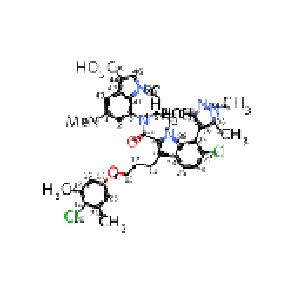 CNc1cc(N2C[C@@H](C)n3c(c(CCCOc4cc(C)c(Cl)c(C)c4)c4ccc(Cl)c(-c5c(C)nn(C)c5C)c43)C2=O)c2c(c1)c(C(=O)O)cn2C